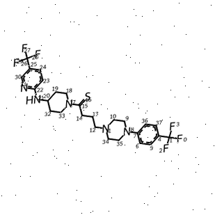 FC(F)(F)c1ccc(N2CCN(CCCC(=S)N3CCC(Nc4ccc(C(F)(F)F)cn4)CC3)CC2)cc1